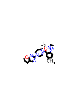 Cc1ccc(-n2nccn2)c(C(=O)N2CCN(c3ncc4c(n3)OCCC4)CC[C@@H]2C)c1